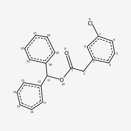 O=C([CH]c1cccc(Cl)c1)OC(c1ccccc1)c1ccccc1